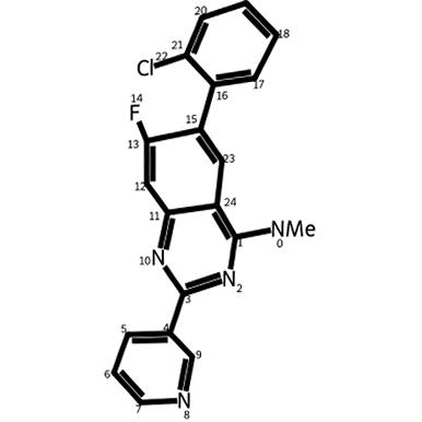 CNc1nc(-c2cccnc2)nc2cc(F)c(-c3ccccc3Cl)cc12